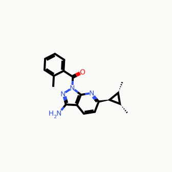 Cc1ccccc1C(=O)n1nc(N)c2ccc([C@H]3[C@H](C)[C@@H]3C)nc21